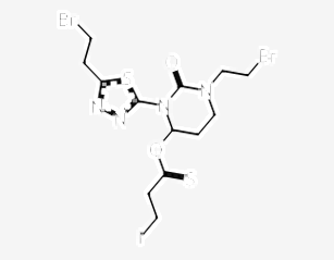 O=C1N(CCBr)CCC(OC(=S)CCI)N1c1nnc(CCBr)s1